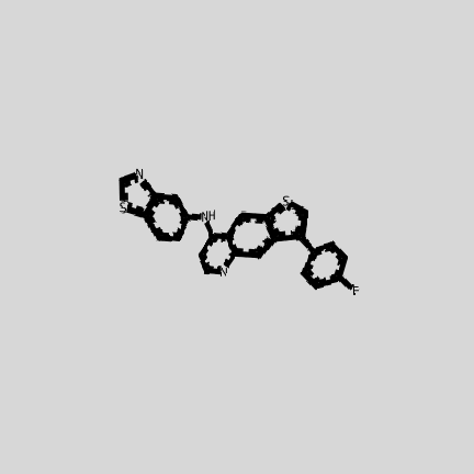 Fc1ccc(-c2csc3cc4c(Nc5ccc6scnc6c5)ccnc4cc23)cc1